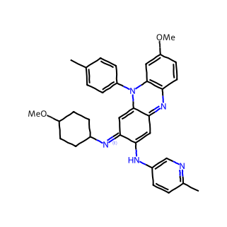 COc1ccc2nc3cc(Nc4ccc(C)nc4)/c(=N/C4CCC(OC)CC4)cc-3n(-c3ccc(C)cc3)c2c1